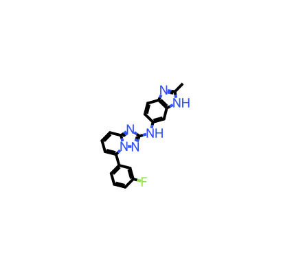 Cc1nc2ccc(Nc3nc4cccc(-c5cccc(F)c5)n4n3)cc2[nH]1